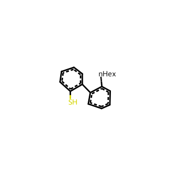 CCCCCCc1ccccc1-c1ccccc1S